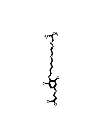 CC(C)CON=CCOCCCCCOc1c(Cl)cc(OCC=C(Cl)Cl)cc1Cl